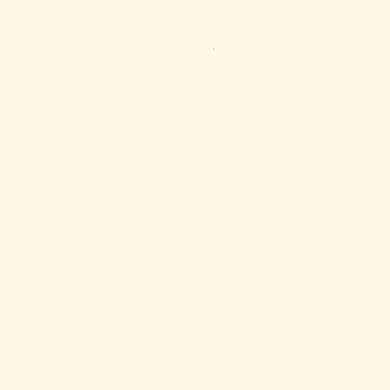 CCCCCc1ccc(-c2ccc(-c3ccc(C(F)(F)Oc4ccc(-c5ccc(OC(F)(F)F)c(F)c5)c(F)c4)c(F)c3)c(F)c2)c(F)c1